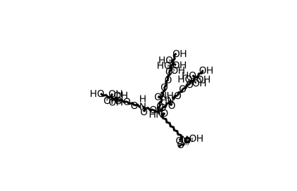 COC[C@@H]1C[C@@H](O)CN1C(=O)CCCCCCCCCCC(=O)NC(COCCC(=O)NCCOCCOCCO[C@@H](O)[C@H](O)C(O)[C@H](O)CCO)(COCCC(=O)NCCOCCOCCO[C@@H](O)[C@H](O)C(O)[C@H](O)CCO)COCCC(=O)NCCOCCOCCO[C@@H](O)[C@H](O)C(O)[C@H](O)CCO